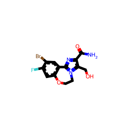 NC(=O)c1nc2n(c1CO)CCOc1cc(F)c(Br)cc1-2